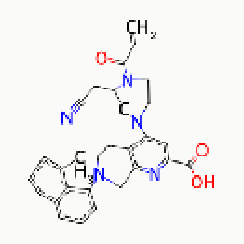 C=CC(=O)N1CCN(c2cc(C(=O)O)nc3c2CCN(c2cccc4cccc(C)c24)C3)CC1CC#N